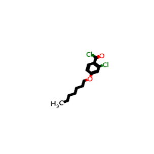 CCCCCCCOc1ccc(C(=O)Cl)c(Cl)c1